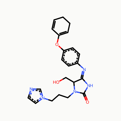 O=C1N/C(=N/c2ccc(OC3=CCCC=C3)cc2)C(CO)N1CCCn1ccnc1